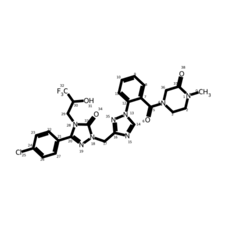 CN1CCN(C(=O)c2ccccc2-n2cnc(Cn3nc(-c4ccc(Cl)cc4)n(CC(O)C(F)(F)F)c3=O)n2)CC1=O